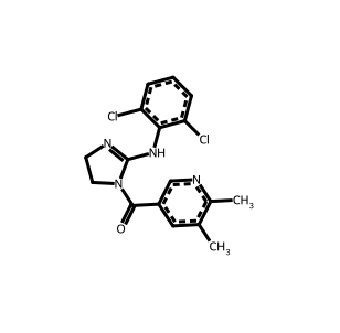 Cc1cc(C(=O)N2CCN=C2Nc2c(Cl)cccc2Cl)cnc1C